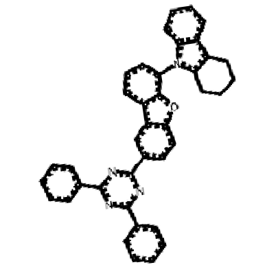 c1ccc(-c2nc(-c3ccccc3)nc(-c3ccc4oc5c(-n6c7c(c8ccccc86)CCCC7)cccc5c4c3)n2)cc1